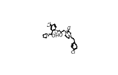 O=C1CN(Cc2ccc(Cl)cc2)CCN1C[C@H](O)COc1ccc(Cl)cc1C(=O)N1CCCC1